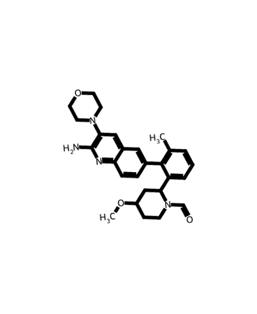 COC1CCN(C=O)C(c2cccc(C)c2-c2ccc3nc(N)c(N4CCOCC4)cc3c2)C1